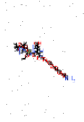 CCCO[C@H](C[C@H](C(C)C)N(CCC)C(=O)[C@@H](NC(=O)[C@@H]([C@@H](C)CC)N(C)C)[C@@H](C)CC)c1nc(C(=O)N[C@@H](Cc2ccc(O)cc2)C[C@H](C)C(=O)NCCOCCOCCOCCOCCOCCOCCN)cs1